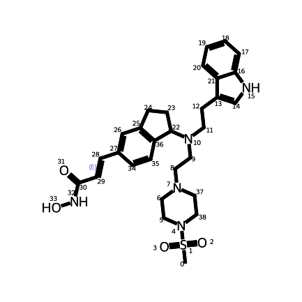 CS(=O)(=O)N1CCN(CCN(CCc2c[nH]c3ccccc23)C2CCc3cc(/C=C/C(=O)NO)ccc32)CC1